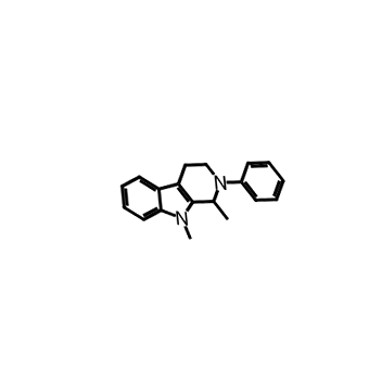 CC1c2c(c3ccccc3n2C)CCN1c1ccccc1